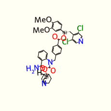 COc1ccc([C@H](Cc2c(Cl)cncc2Cl)OC(=O)c2ccc(CN(C(=O)O[C@H]3CN4CCC3CC4)c3ccccc3C(N)=O)cc2)cc1OC